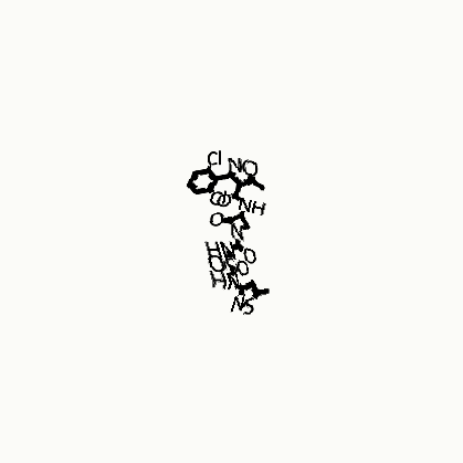 Cc1cc(NS(=O)(=O)NC(=O)N2CC(NC(=O)c3c(-c4c(Cl)cccc4Cl)noc3C)C2=O)ns1